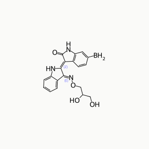 Bc1ccc2c(c1)NC(=O)/C2=C1\Nc2ccccc2\C1=N/OCC(O)CO